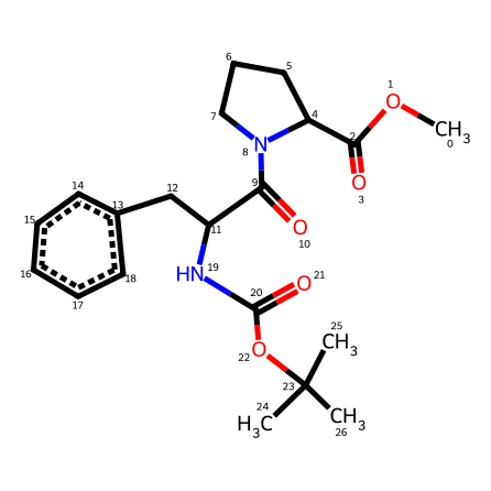 COC(=O)C1CCCN1C(=O)C(Cc1ccccc1)NC(=O)OC(C)(C)C